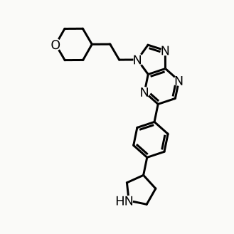 c1cc(C2CCNC2)ccc1-c1cnc2ncn(CCC3CCOCC3)c2n1